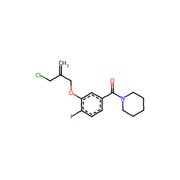 C=C(CCl)COc1cc(C(=O)N2CCCCC2)ccc1I